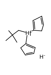 CC(C)(C)[CH2][Hf]([C]1=CC=CC1)[C]1=CC=CC1.[H-]